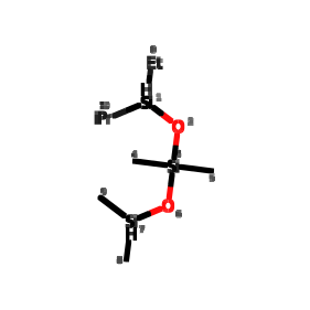 CC[SiH](O[Si](C)(C)O[SiH](C)C)C(C)C